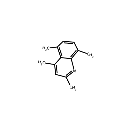 Cc1cc(C)c2c(C)ccc(C)c2n1